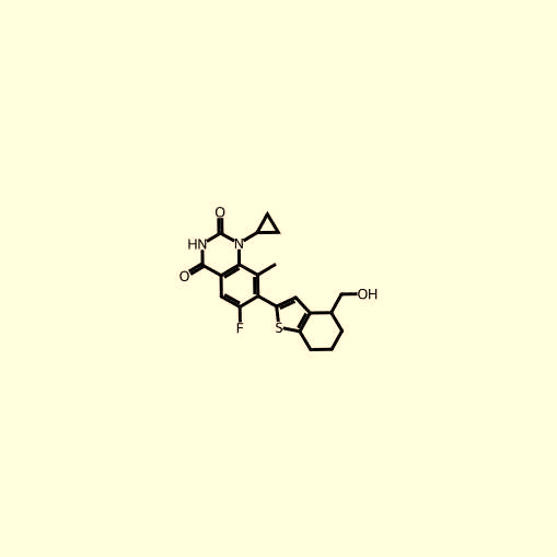 Cc1c(-c2cc3c(s2)CCCC3CO)c(F)cc2c(=O)[nH]c(=O)n(C3CC3)c12